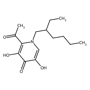 CCCCC(CC)Cn1cc(O)c(=O)c(O)c1C(C)=O